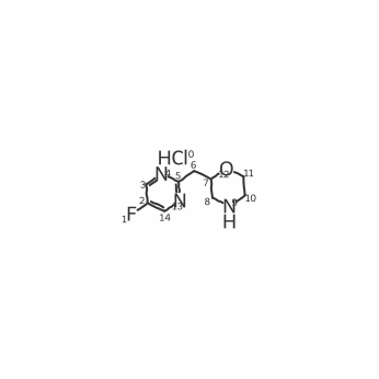 Cl.Fc1cnc(CC2CNCCO2)nc1